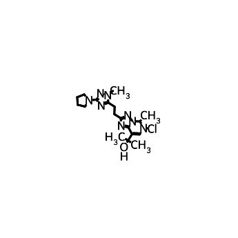 CC1N(Cl)C=C(C(C)(C)O)c2nc(CCc3nc(N4CCCC4)nn3C)nn21